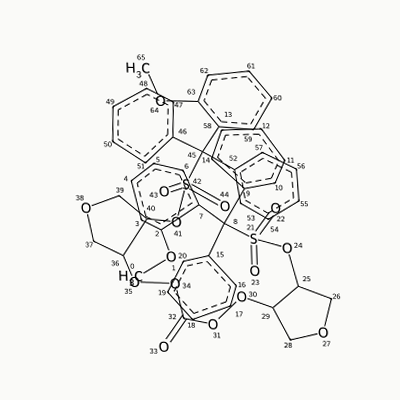 COc1ccccc1C(c1ccccc1)(c1ccccc1)S(=O)(=O)OC1COCC1OOC(=O)OOC1COCC1OS(=O)(=O)C(c1ccccc1)(c1ccccc1)c1ccccc1OC